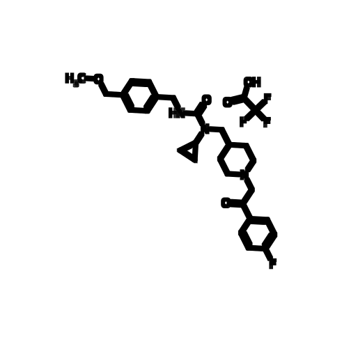 COCc1ccc(CNC(=O)N(CC2CCN(CC(=O)c3ccc(F)cc3)CC2)C2CC2)cc1.O=C(O)C(F)(F)F